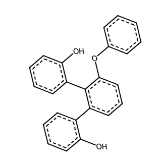 Oc1ccccc1-c1cccc(Oc2ccccc2)c1-c1ccccc1O